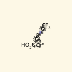 Cc1ccc(CC(=O)O)cc1Oc1cc(OC/C=C/c2ccc(C(F)(F)F)cc2)ccc1C